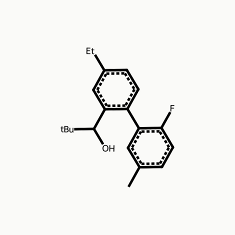 CCc1ccc(-c2cc(C)ccc2F)c(C(O)C(C)(C)C)c1